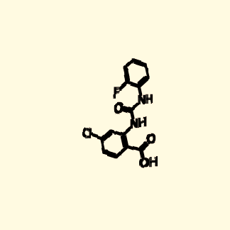 O=C(Nc1ccccc1F)Nc1cc(Cl)ccc1C(=O)O